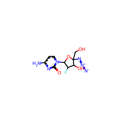 [N-]=[N+]=NC1(CO)OC(n2ccc(N)nc2=O)C(F)C1O